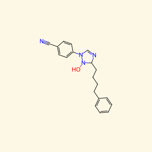 N#Cc1ccc(N2C=NC(CCCCc3ccccc3)N2O)cc1